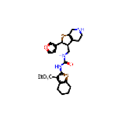 CCOC(=O)c1c(NC(=O)NCC2C3=C(CNCC3)SC2c2ccoc2)sc2c1CCCC2